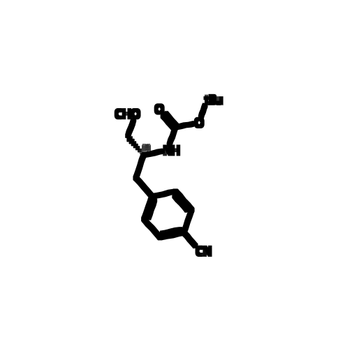 CC(C)(C)OC(=O)N[C@@H](CC=O)Cc1ccc(C#N)cc1